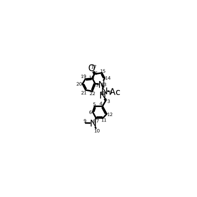 CC(=O)N(N=Cc1ccc(N(C)C)cc1)n1ccc(=O)c2ccccc21